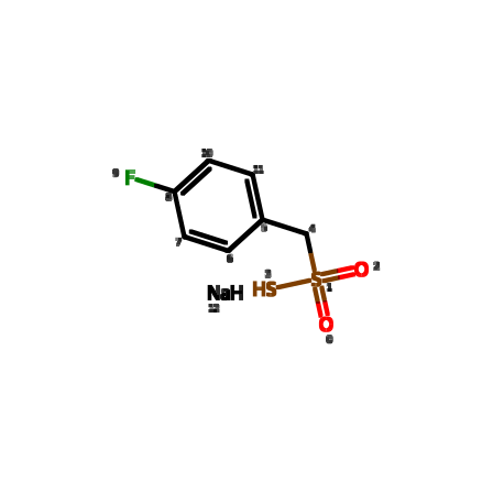 O=S(=O)(S)Cc1ccc(F)cc1.[NaH]